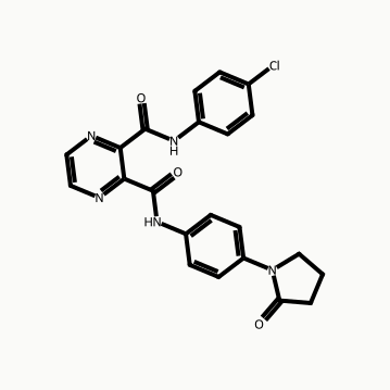 O=C(Nc1ccc(Cl)cc1)c1nccnc1C(=O)Nc1ccc(N2CCCC2=O)cc1